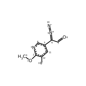 COc1ncc(C(C=O)=[N+]=[N-])cc1F